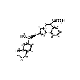 O=C(O)CC(Cn1cnc(C#CC(O)c2ccc3c(n2)NCCC3)c1)c1ccccc1